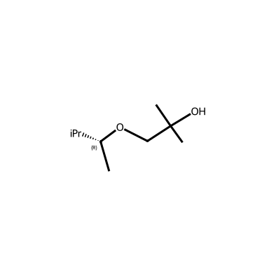 CC(C)[C@@H](C)OCC(C)(C)O